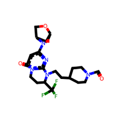 O=CN1CCC(CCN2c3nc(N4CC5CC4CO5)cc(=O)n3CCC2C(F)(F)F)CC1